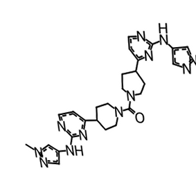 Cn1cc(Nc2nccc(C3CCN(C(=O)N4CCC(c5ccnc(Nc6cnn(C)c6)n5)CC4)CC3)n2)cn1